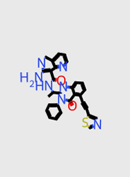 CC(NC(=O)c1c(N)ncc2cccnc12)c1nc2cccc(C#Cc3cncs3)c2c(=O)n1-c1ccccc1